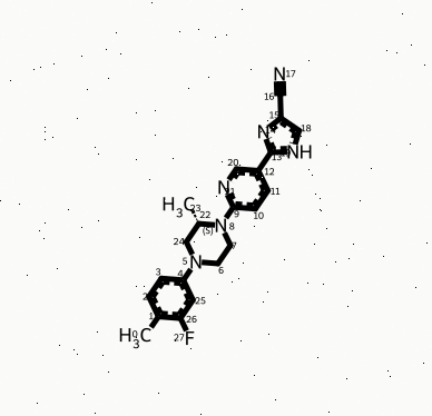 Cc1ccc(N2CCN(c3ccc(-c4nc(C#N)c[nH]4)cn3)[C@@H](C)C2)cc1F